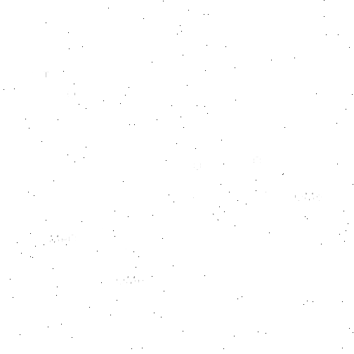 CCCOCCCc1cc(C(=O)N2CCC2C(=O)OC)cc(OC)c1OC